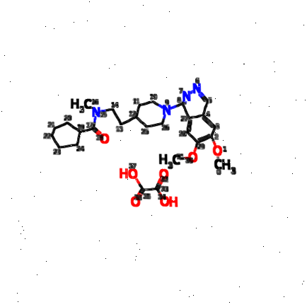 COc1cc2cnnc(N3CCC(CCN(C)C(=O)C4CCCCC4)CC3)c2cc1OC.O=C(O)C(=O)O